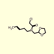 CC=CCCN(CC1OCCO1)C(=O)CCl